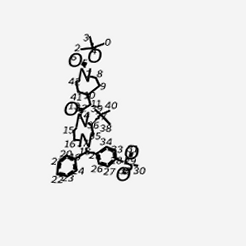 CC(C)(C)OC(=O)N1CCC(CC(=O)N2CCN(C(c3ccccc3)c3ccc(S(C)(=O)=O)cc3)C[C@@H]2C(C)(C)C)CC1